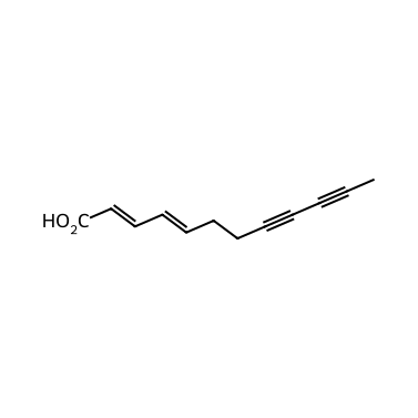 CC#CC#CCCC=CC=CC(=O)O